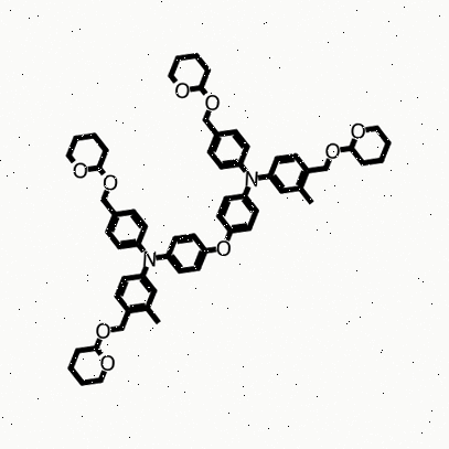 Cc1cc(N(c2ccc(COC3CCCCO3)cc2)c2ccc(Oc3ccc(N(c4ccc(COC5CCCCO5)cc4)c4ccc(COC5CCCCO5)c(C)c4)cc3)cc2)ccc1COC1CCCCO1